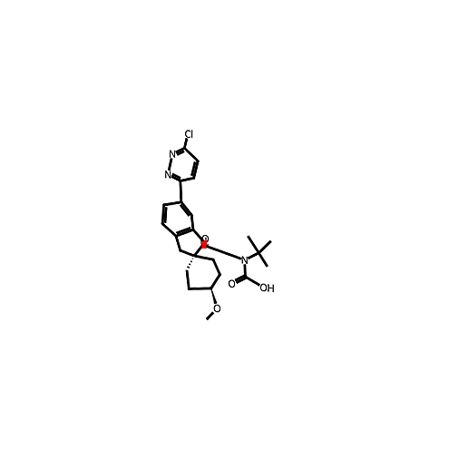 CO[C@H]1CC[C@]2(CC1)Cc1ccc(-c3ccc(Cl)nn3)cc1C21COC(N(C(=O)O)C(C)(C)C)=N1